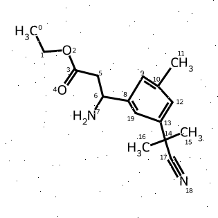 CCOC(=O)CC(N)c1cc(C)cc(C(C)(C)C#N)c1